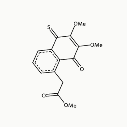 COC(=O)Cc1cccc2c1C(=O)C(OC)=C(OC)C2=S